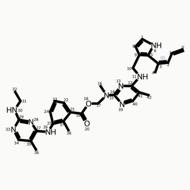 C=C/C=C(/C)c1[nH]ccc1CNc1nc(N(C)COC(=O)c2cccc(Nc3nc(NCC)ncc3C)c2C)ncc1C